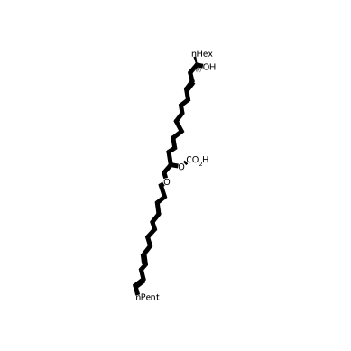 CCCCCC=CCC=CCCCCCCCCOCC(CCCCCCCCC=CC[C@H](O)CCCCCC)OC(=O)O